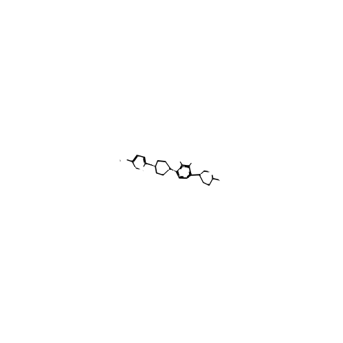 CCCC1=CC=C(C2CCC(c3ccc(C4CCC(CCC)OC4)c(F)c3F)CC2)NC1